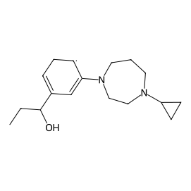 CCC(O)C1=CC[CH]C(N2CCCN(C3CC3)CC2)=C1